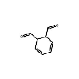 O=CC1C=CC=CC1C=O